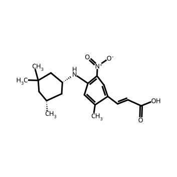 Cc1cc(N[C@@H]2C[C@H](C)CC(C)(C)C2)c([N+](=O)[O-])cc1/C=C/C(=O)O